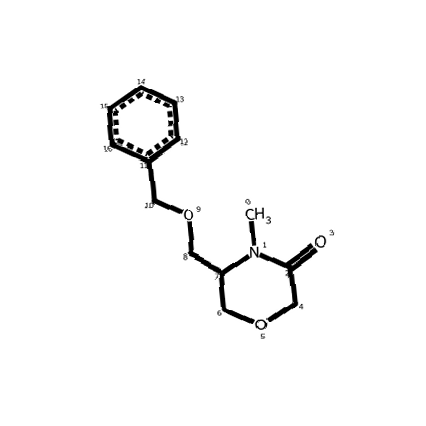 CN1C(=O)COCC1COCc1ccccc1